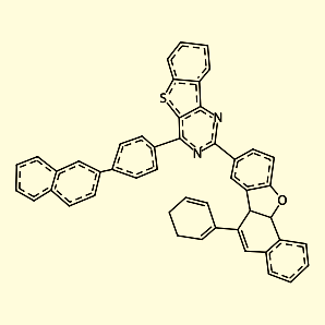 C1=CC(C2=Cc3ccccc3C3Oc4ccc(-c5nc(-c6ccc(-c7ccc8ccccc8c7)cc6)c6sc7ccccc7c6n5)cc4C23)=CCC1